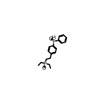 CCP(=O)(CC)CCc1ccc([PH](=O)c2ccccc2)cc1